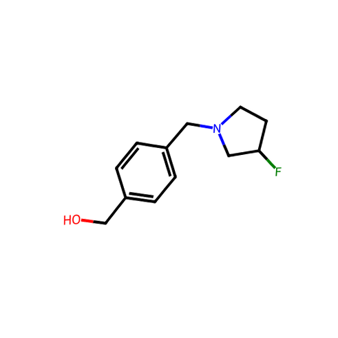 OCc1ccc(CN2CCC(F)C2)cc1